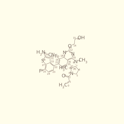 C=CC(=O)N1CC[C@@H](N(C)c2nc(OCCO)nc3c(F)c(-c4ccc(F)c5sc(N)c(C#N)c45)ccc23)[C@H]1C